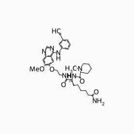 C#Cc1cccc(Nc2ncnc3cc(OC)c(OCCNC(=O)[C@H](CCCCCC(N)=O)NC(=O)C4CCCCN4C)cc23)c1